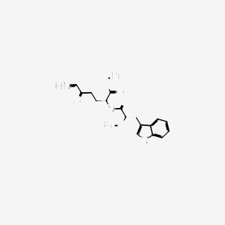 CCS[C@@H](Cc1c[nH]c2ccccc12)C(=O)N[C@@H](CCC(=O)C=N)C(=O)OC(C)C